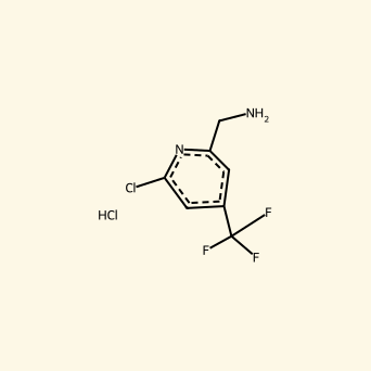 Cl.NCc1cc(C(F)(F)F)cc(Cl)n1